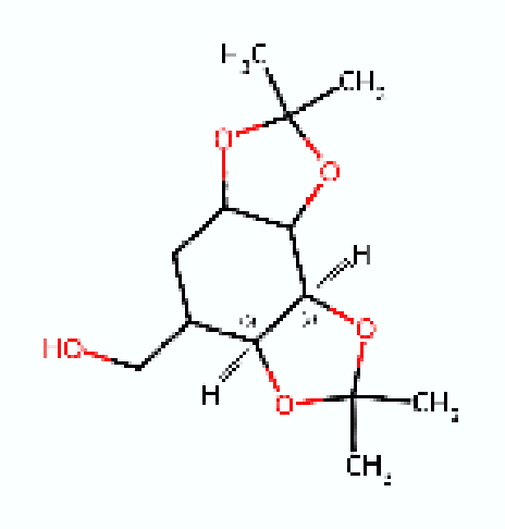 CC1(C)OC2CC(CO)[C@@H]3OC(C)(C)O[C@@H]3C2O1